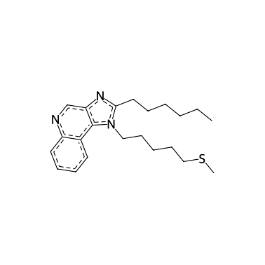 CCCCCCc1nc2cnc3ccccc3c2n1CCCCCSC